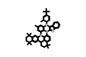 Cc1cc2c3c(c1)N(C1C=CC(C(C)(C)C)=CC1C)c1c(oc4ccccc14)B3c1ccc3c4c1N2c1cc2c(cc1C4(C)CCC3(C)C)C(C)(C)CCC2(C)C